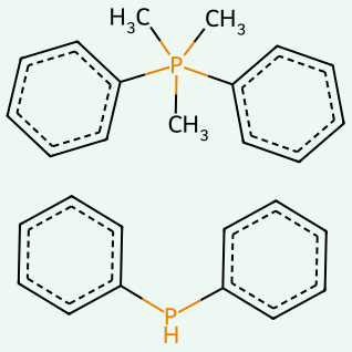 CP(C)(C)(c1ccccc1)c1ccccc1.c1ccc(Pc2ccccc2)cc1